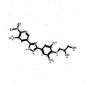 CCN(CC)c1ncc(-c2nc(-c3cc(C)c(OCC(O)CO)c(Cl)c3)no2)cc1C